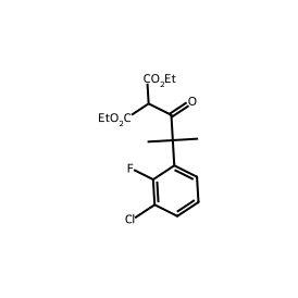 CCOC(=O)C(C(=O)OCC)C(=O)C(C)(C)c1cccc(Cl)c1F